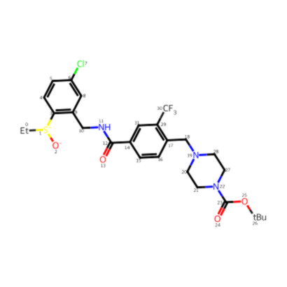 CC[S+]([O-])c1ccc(Cl)cc1CNC(=O)c1ccc(CN2CCN(C(=O)OC(C)(C)C)CC2)c(C(F)(F)F)c1